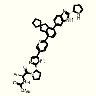 COC(=O)N[C@H](C(=O)N1CCC[C@H]1c1ncc(-c2ccc(-c3ccc(-c4ccc5nc([C@@H]6CCCN6)[nH]c5c4)c4c3CC3(CCCC3)C4)nc2)[nH]1)C(C)C